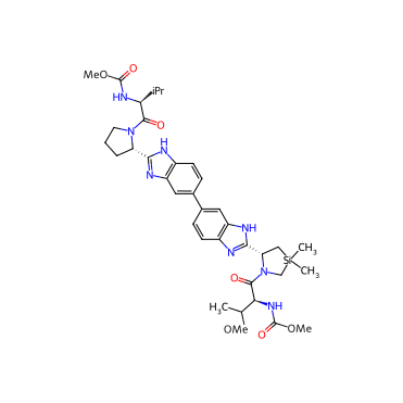 COC(=O)N[C@H](C(=O)N1CCC[C@H]1c1nc2cc(-c3ccc4nc([C@@H]5C[Si](C)(C)CN5C(=O)[C@@H](NC(=O)OC)C(C)OC)[nH]c4c3)ccc2[nH]1)C(C)C